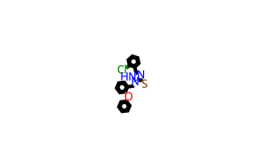 S=c1nc(-c2ccccc2Cl)[nH]n1Cc1ccccc1Oc1ccccc1